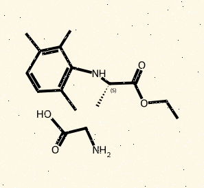 CCOC(=O)[C@H](C)Nc1c(C)ccc(C)c1C.NCC(=O)O